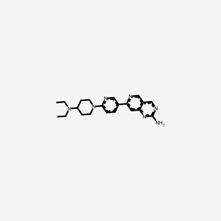 CCN(CC)C1CCN(c2ccc(-c3cc4nc(N)ncc4cn3)cn2)CC1